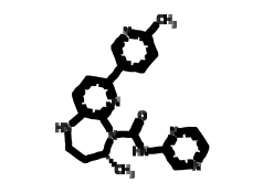 Cc1ccc(-c2ccc3c(n2)N(C(=O)Nc2cnccn2)[C@H](C)CCN3)cn1